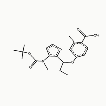 CCC(Oc1ccc(C(=O)O)c(C)c1)c1sccc1N(C)C(=O)OC(C)(C)C